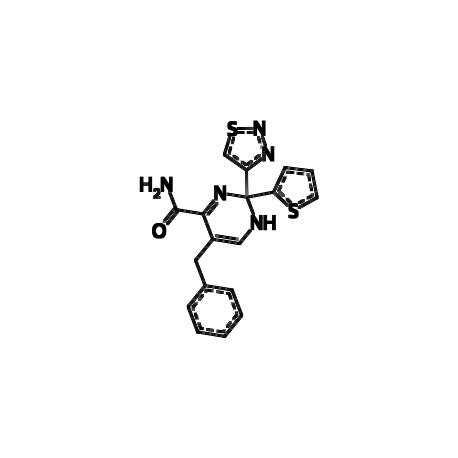 NC(=O)C1=NC(c2csnn2)(c2cccs2)NC=C1Cc1ccccc1